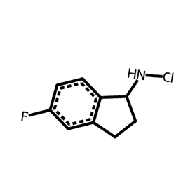 Fc1ccc2c(c1)CCC2NCl